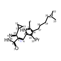 Cc1[nH]c(/C=C2/C(=O)NN=C2C2CC2)c(C(C)C)c1CCCCN(C)C